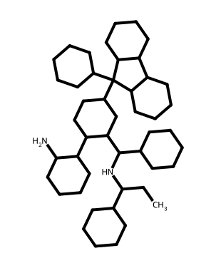 CCC(NC(C1CCCCC1)C1CC(C2(C3CCCCC3)C3CCCCC3C3CCCCC32)CCC1C1CCCCC1N)C1CCCCC1